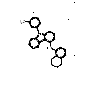 Cc1cccc(-n2c3ccccc3c3c(Nc4cccc5c4CCCC5)cccc32)c1